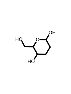 OCC1OC(O)CCC1O